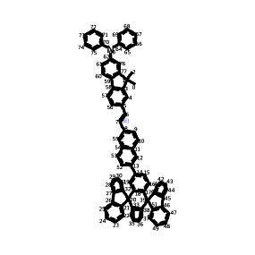 CC1(C)c2cc(/C=C/c3ccc4cc(-c5ccc6c(c5)C5(c7ccccc7-c7ccccc75)c5ccccc5C65c6ccccc6-c6ccccc65)ccc4c3)ccc2-c2ccc(N(c3ccccc3)c3ccccc3)cc21